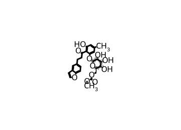 COC(=O)OC[C@H]1O[C@@H](Oc2cc(C)cc(O)c2C(=O)CCc2ccc3occc3c2)[C@H](O)[C@@H](O)[C@@H]1O